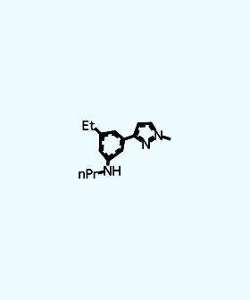 CCCNc1cc(CC)cc(-c2ccn(C)n2)c1